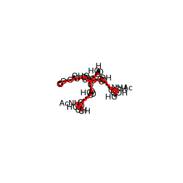 CC(=O)NC1C(OCCCCCCOP(=O)(O)OCCCOCC(COCCCO[PH](=O)O)(COCCCOP(=O)(O)OCCCCCCOC2OC(CO)C(O)C(O)C2NC(C)=O)COP(=O)(O)OCCCOCC(CO)COCCCOC2CCCCCC2)OC(CO)C(O)C1O